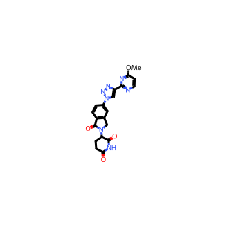 COc1ccnc(-c2cn(-c3ccc4c(c3)CN(C3CCC(=O)NC3=O)C4=O)nn2)n1